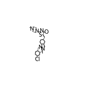 CN1CCN(C2=NC(=O)/C(=C/c3ccc4c(cnn4Cc4ccc(Cl)cc4I)c3)S2)CC1